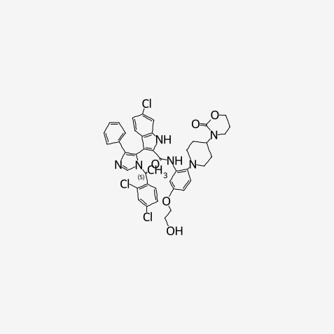 C[C@@H](c1ccc(Cl)cc1Cl)n1cnc(-c2ccccc2)c1-c1c(C(=O)Nc2cc(OCCO)ccc2N2CCC(N3CCCOC3=O)CC2)[nH]c2cc(Cl)ccc12